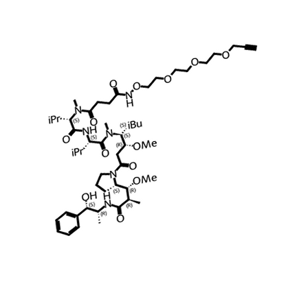 C#CCOCCOCCOCCONC(=O)CCC(=O)N(C)[C@H](C(=O)N[C@H](C(=O)N(C)[C@@H]([C@@H](C)CC)[C@@H](CC(=O)N1CCC[C@H]1[C@H](OC)[C@@H](C)C(=O)N[C@H](C)[C@@H](O)c1ccccc1)OC)C(C)C)C(C)C